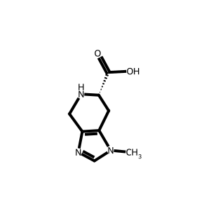 Cn1cnc2c1C[C@@H](C(=O)O)NC2